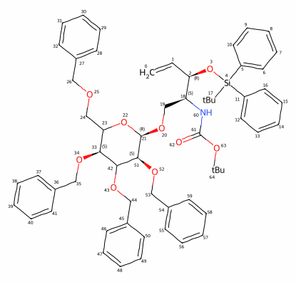 C=C[C@@H](O[Si](c1ccccc1)(c1ccccc1)C(C)(C)C)[C@H](CO[C@@H]1OC(COCc2ccccc2)[C@H](OCc2ccccc2)C(OCc2ccccc2)[C@@H]1OCc1ccccc1)NC(=O)OC(C)(C)C